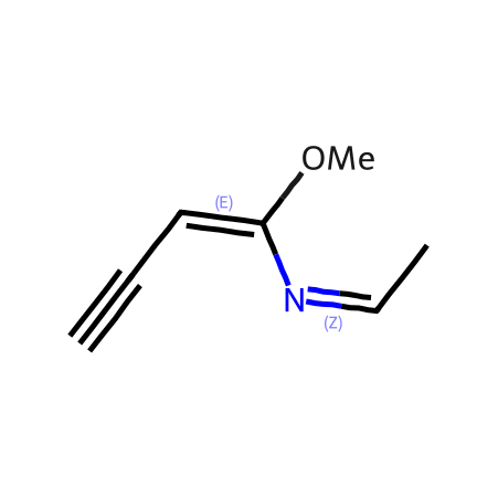 C#C/C=C(\N=C/C)OC